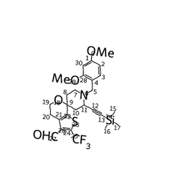 COc1ccc(CN2CCC3(CC2C#C[Si](C)(C)C)OCCc2c3sc(C(F)(F)F)c2C=O)c(OC)c1